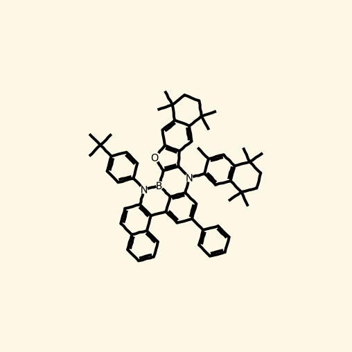 Cc1cc2c(cc1N1c3cc(-c4ccccc4)cc4c3B(c3oc5cc6c(cc5c31)C(C)(C)CCC6(C)C)N(c1ccc(C(C)(C)C)cc1)c1ccc3ccccc3c1-4)C(C)(C)CCC2(C)C